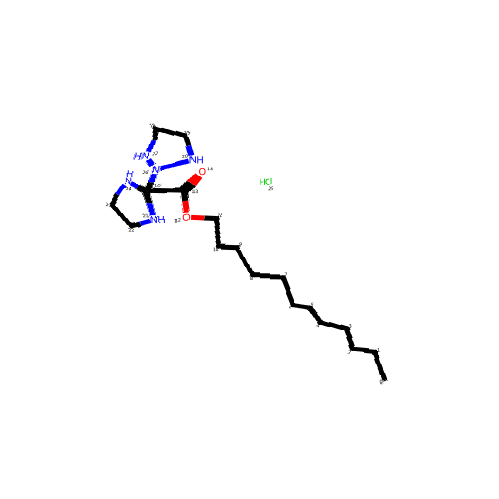 CCCCCCCCCCCCOC(=O)C1(N2NCCN2)NCCN1.Cl